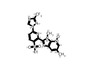 CCS(=O)(=O)c1ccc(-n2cnc(C(F)(F)F)n2)nc1-c1nc2cc(C)c[n+]([O-])c2n1C